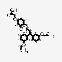 CCOc1cccc(C(=CCSc2ccc(OCC(=O)O)cc2C)c2cccc(OCC)c2)c1